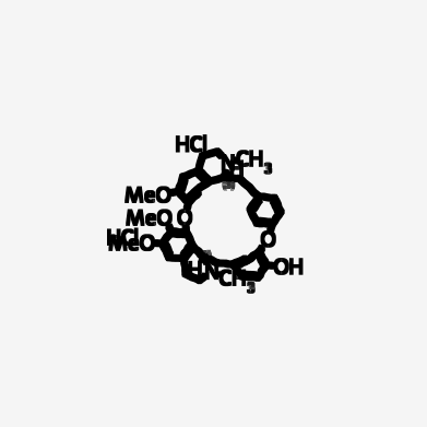 COc1cc2c3cc1Oc1c(OC)c(OC)cc4c1[C@@H](Cc1ccc(O)c(c1)Oc1ccc(cc1)C[C@@H]3N(C)CC2)N(C)CC4.Cl.Cl